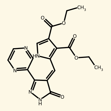 CCOC(=O)c1c[nH]c(/C=C2/C(=O)NN=C2c2cnccn2)c1C(=O)OCC